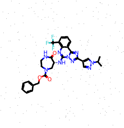 CC(C)n1cc(-c2nc3c4cccc(C(F)(F)F)c4nc(N[C@@H]4CN(C(=O)OCc5ccccc5)CCNC4=O)n3n2)cn1